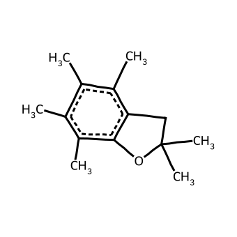 Cc1c(C)c(C)c2c(c1C)CC(C)(C)O2